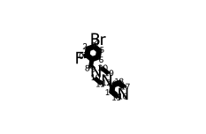 Fc1cc(Br)ccc1CN1CCN(c2ccncc2)CC1